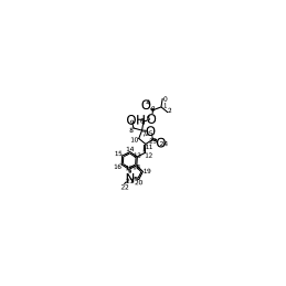 CC(C)C(=O)OCC1(CO)C/C(=C\c2cccc3c2ccn3C)C(=O)O1